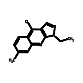 CCn1ncc2c(Cl)c3ccc(C)cc3nc21